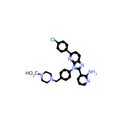 Nc1ncccc1-c1nc2ccc(-c3ccc(Cl)cc3)nc2n1-c1ccc(CN2CCN(C(=O)O)CC2)cc1